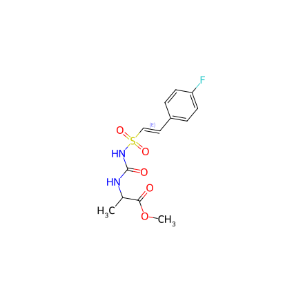 COC(=O)C(C)NC(=O)NS(=O)(=O)/C=C/c1ccc(F)cc1